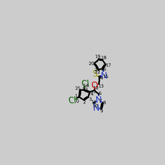 Clc1ccc(C(Cn2ccnc2)OCc2nc3ccccc3s2)c(Cl)c1